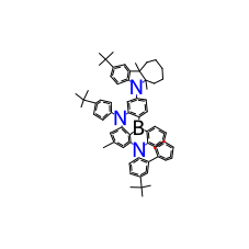 Cc1cc2c3c(c1)N(c1ccc(C(C)(C)C)cc1-c1ccccc1)c1ccccc1B3c1ccc(N3c4ccc(C(C)(C)C)cc4C4(C)CCCCCC34C)cc1N2c1ccc(C(C)(C)C)cc1